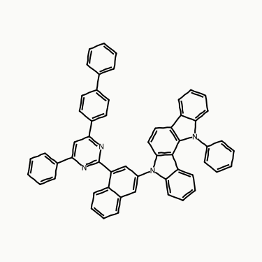 c1ccc(-c2ccc(-c3cc(-c4ccccc4)nc(-c4cc(-n5c6ccccc6c6c5ccc5c7ccccc7n(-c7ccccc7)c56)cc5ccccc45)n3)cc2)cc1